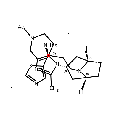 CC(=O)N[C@@H](CCN1[C@@H]2CC[C@H]1C[C@@H](n1c(C)nc3c1CCN(C(C)=O)C3)C2)c1cncs1